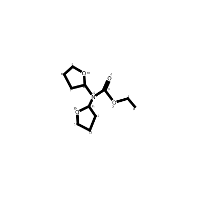 CCOC(=O)N(C1CCCO1)C1CCCO1